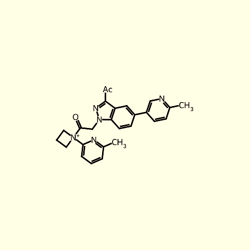 CC(=O)c1nn(CC(=O)[N+]2(c3cccc(C)n3)CCC2)c2ccc(-c3ccc(C)nc3)cc12